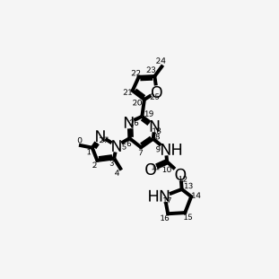 Cc1cc(C)n(-c2cc(NC(=O)OC3CCCN3)nc(-c3ccc(C)o3)n2)n1